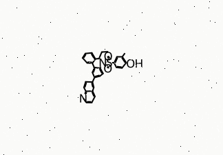 CCC1c2ccccc2-c2cc(-c3ccc4ncccc4c3)ccc2N1S(=O)(=O)c1ccc(O)c(C)c1